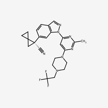 Cc1nc(N2CCN(CC(F)(F)F)CC2)cc(-n2ncc3ccc([C@@]4(C#N)CC45CC5)cc32)n1